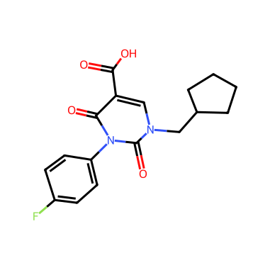 O=C(O)c1cn(CC2CCCC2)c(=O)n(-c2ccc(F)cc2)c1=O